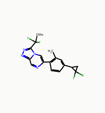 COC(F)(F)c1nnc2cnc(-c3ccc(C4CC4(F)F)cc3C)cn12